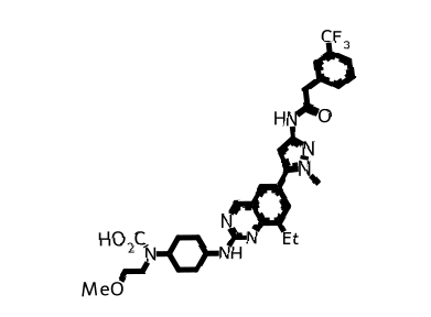 CCc1cc(-c2cc(NC(=O)Cc3cccc(C(F)(F)F)c3)nn2C)cc2cnc(NC3CCC(N(CCOC)C(=O)O)CC3)nc12